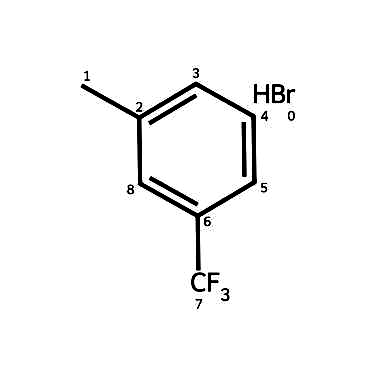 Br.Cc1cccc(C(F)(F)F)c1